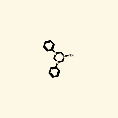 CCCCN1CN(c2ccccc2)CN(c2ccccc2)C1